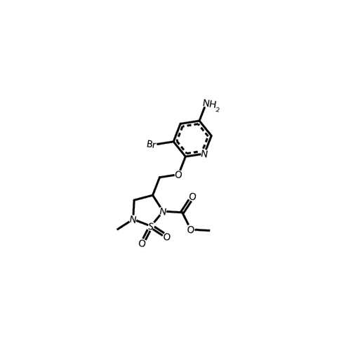 COC(=O)N1C(COc2ncc(N)cc2Br)CN(C)S1(=O)=O